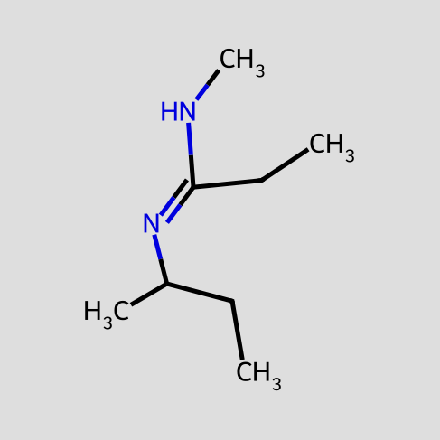 CC/C(=N\C(C)CC)NC